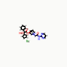 O=C(C[N+]12CCC(CC1)C(OC(=O)[C@](O)(c1ccccc1)C1CCCC1)C2)Nc1ncccn1.[Br-]